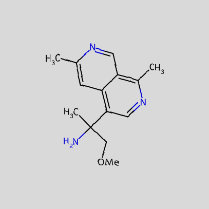 COCC(C)(N)c1cnc(C)c2cnc(C)cc12